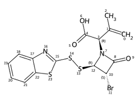 C=C(C)[C@H](C(=O)O)N1C(=O)[C@H](Br)[C@H]1SSc1nc2ccccc2s1